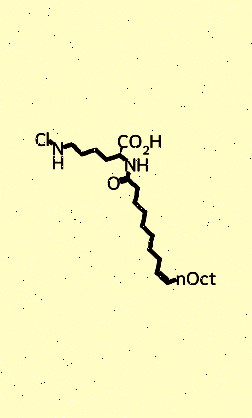 CCCCCCCC/C=C\CCCCCCCC(=O)N[C@H](CCCCNCl)C(=O)O